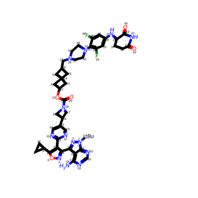 CC(C)(C)n1nc(-c2noc(C3CC3)c2-c2ncc(C3CN(C(=O)OC4CC5(CC(CN6CCN(c7c(F)cc(NC8CCC(=O)NC8=O)cc7F)CC6)C5)C4)C3)cn2)c2c(N)ncnc21